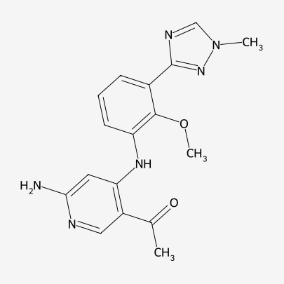 COc1c(Nc2cc(N)ncc2C(C)=O)cccc1-c1ncn(C)n1